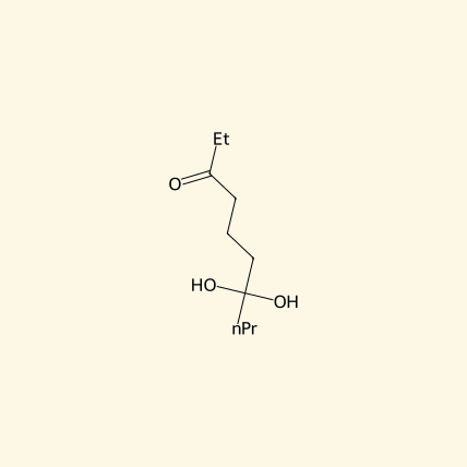 CCCC(O)(O)CCCC(=O)CC